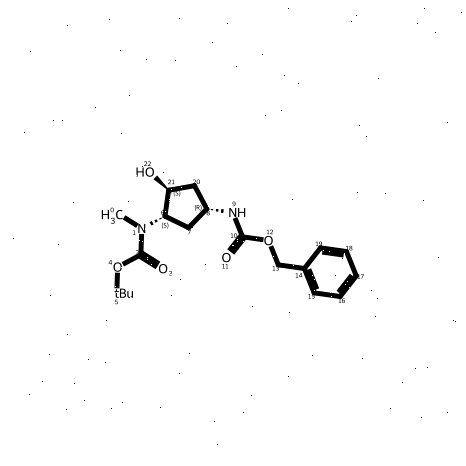 CN(C(=O)OC(C)(C)C)[C@H]1C[C@@H](NC(=O)OCc2ccccc2)C[C@@H]1O